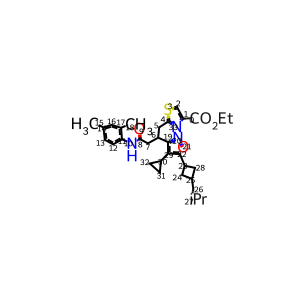 CCOC(=O)c1csc(CC(CC(=O)Nc2ccc(C)cc2C)c2noc(C3CC(CC(C)C)C3)c2C2CC2)n1